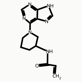 C=CC(=O)NC1CCCN(c2ncnc3[nH]cnc23)C1